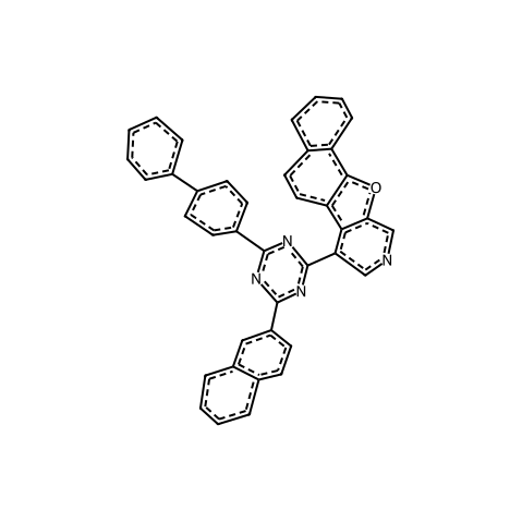 c1ccc(-c2ccc(-c3nc(-c4ccc5ccccc5c4)nc(-c4cncc5oc6c7ccccc7ccc6c45)n3)cc2)cc1